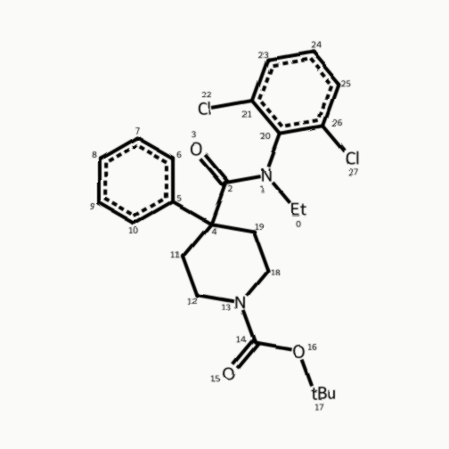 CCN(C(=O)C1(c2ccccc2)CCN(C(=O)OC(C)(C)C)CC1)c1c(Cl)cccc1Cl